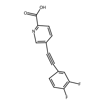 O=C(O)c1ccc(C#Cc2ccc(F)c(F)c2)cn1